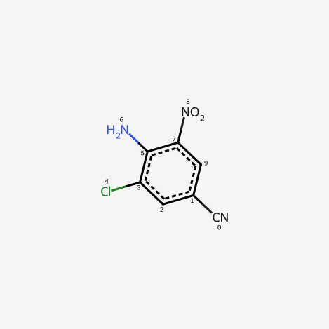 N#Cc1cc(Cl)c(N)c([N+](=O)[O-])c1